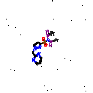 CC(C)PN(PC(C)C)S(=O)(=O)c1ccn(Cc2ncccn2)n1